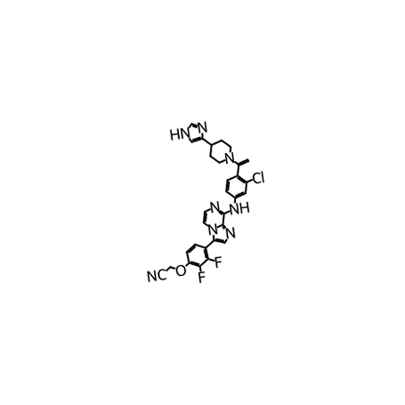 C=C(c1ccc(Nc2nccn3c(-c4ccc(OCC#N)c(F)c4F)cnc23)cc1Cl)N1CCC(c2c[nH]cn2)CC1